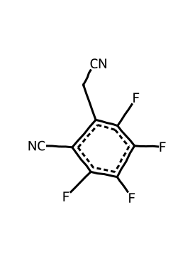 N#CCc1c(F)c(F)c(F)c(F)c1C#N